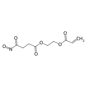 C=CC(=O)OCCOC(=O)CCC(=O)N=O